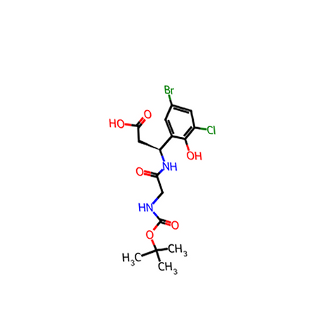 CC(C)(C)OC(=O)NCC(=O)N[C@@H](CC(=O)O)c1cc(Br)cc(Cl)c1O